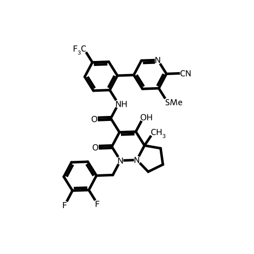 CSc1cc(-c2cc(C(F)(F)F)ccc2NC(=O)C2=C(O)C3(C)CCCN3N(Cc3cccc(F)c3F)C2=O)cnc1C#N